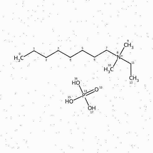 CCCCCCCC[N+](C)(C)CC.O=P(O)(O)O